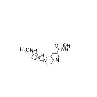 CNC12CC(C1)[C@@H](CN1CCc3ncc(C(=O)NO)cc3C1)C2